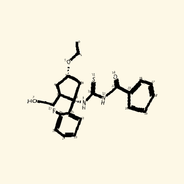 CCO[C@H]1CC(CO)[C@](NC(=S)NC(=O)c2ccccc2)(c2ccccc2F)C1